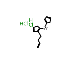 C=CCCC1=[C]([Zr][C]2=CC=CC2)CC=C1.Cl.Cl